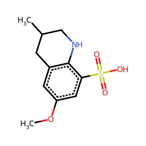 COc1cc2c(c(S(=O)(=O)O)c1)NCC(C)C2